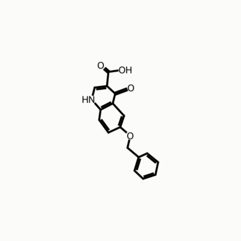 O=C(O)c1c[nH]c2ccc(OCc3ccccc3)cc2c1=O